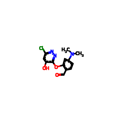 CN(C)c1ccc(C=O)c(Oc2nnc(Cl)cc2O)c1